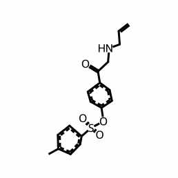 C=CCNCC(=O)c1ccc(OS(=O)(=O)c2ccc(C)cc2)cc1